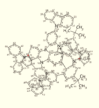 CC(C)(C)c1cc(-c2ccccc2)cc(N2c3cc(-n4c5ccccc5c5ccccc54)ccc3B3c4ccc(-n5c6ccccc6c6ccccc65)cc4N(c4ccc(-c5ccccc5)cc4-c4ccccc4)c4cc(-c5c(-c6ccc7c(c6)sc6ccccc67)cc(C(C)(C)C)cc5-n5c6ccccc6c6ccccc65)cc2c43)c1